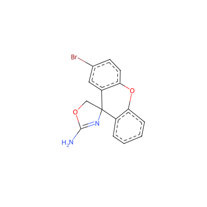 NC1=NC2(CO1)c1ccccc1Oc1ccc(Br)cc12